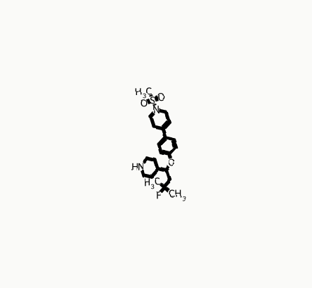 CC(C)(F)CC(Oc1ccc(C2=CCN(S(C)(=O)=O)CC2)cc1)C1CCNCC1